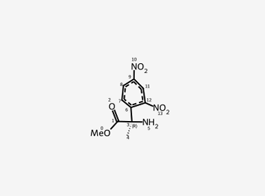 COC(=O)[C@](C)(N)c1ccc([N+](=O)[O-])cc1[N+](=O)[O-]